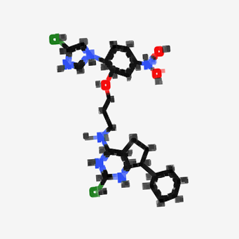 CN(CCCOc1cc([N+](=O)[O-])ccc1-n1cnc(Cl)c1)c1nc(Cl)nc2c1CCC2c1ccccc1